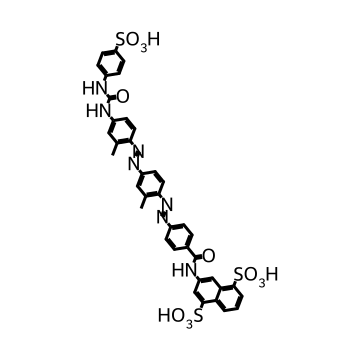 Cc1cc(N=Nc2ccc(NC(=O)Nc3ccc(S(=O)(=O)O)cc3)cc2C)ccc1N=Nc1ccc(C(=O)Nc2cc(S(=O)(=O)O)c3cccc(S(=O)(=O)O)c3c2)cc1